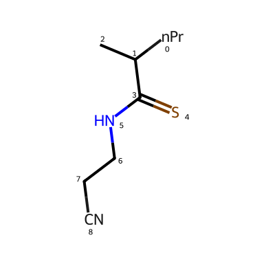 CCCC(C)C(=S)NCCC#N